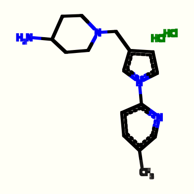 Cl.Cl.NC1CCN(Cc2ccn(-c3ccc(C(F)(F)F)cn3)c2)CC1